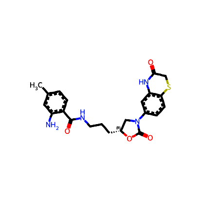 Cc1ccc(C(=O)NCCC[C@@H]2CN(c3ccc4c(c3)NC(=O)CS4)C(=O)O2)c(N)c1